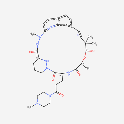 CC(C)[C@@H]1OC(=O)C(C)(C)/C=C/c2ccc3ccc(nc3c2)N(C)NC(=O)[C@@H]2CCCN(N2)C(=O)[C@H](CCC(=O)N2CCN(C)CC2)NC1=O